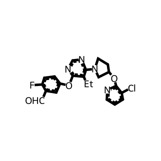 CCc1c(Oc2ccc(F)c(C=O)c2)ncnc1N1CCC(Oc2ncccc2Cl)C1